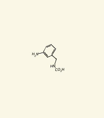 Nc1cccc(CNC(=O)O)c1